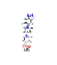 CC(C)(C)OC(=O)C1CCN(C2CCN(c3ccc(N)cc3F)CC2)CC1